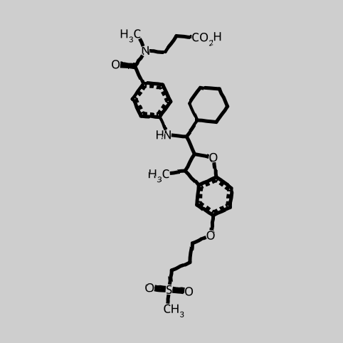 CC1c2cc(OCCCS(C)(=O)=O)ccc2OC1C(Nc1ccc(C(=O)N(C)CCC(=O)O)cc1)C1CCCCC1